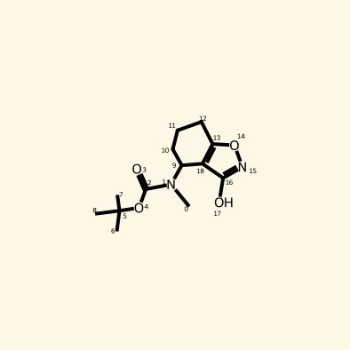 CN(C(=O)OC(C)(C)C)C1CCCc2onc(O)c21